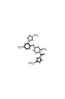 C[C@H]1CCN(c2cc(C(F)(F)F)ccc2CN2CCN(C(=O)n3ccc(C(=O)O)n3)[C@H](C)C2)C1